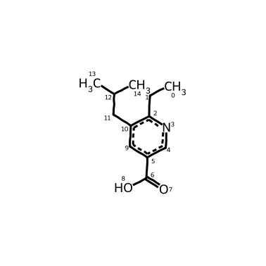 CCc1ncc(C(=O)O)cc1CC(C)C